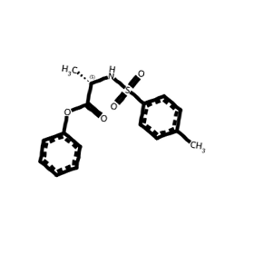 Cc1ccc(S(=O)(=O)N[C@@H](C)C(=O)Oc2ccccc2)cc1